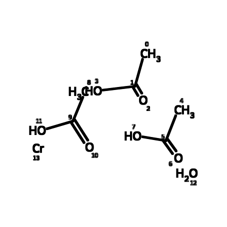 CC(=O)O.CC(=O)O.CC(=O)O.O.[Cr]